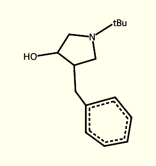 CC(C)(C)N1CC(O)C(Cc2ccccc2)C1